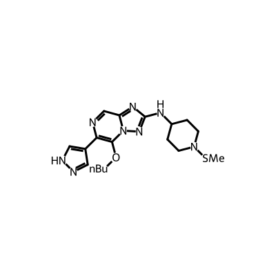 CCCCOc1c(-c2cn[nH]c2)ncc2nc(NC3CCN(SC)CC3)nn12